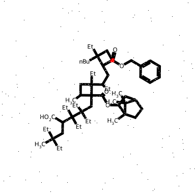 CCCCC1(CC)CCC1(CC(CC)C1(CC)CC(C)C1(CC(CC)(CC)C(CC)(CC)C(CC(C)(CC)CC)C(=O)O)C(=O)OC1CC2CCC1(C)C2(C)C)C(=O)OCc1ccccc1